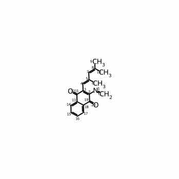 C=NC1=C(/C=C(\C)C=C(C)C)C(=O)c2ccccc2C1=O